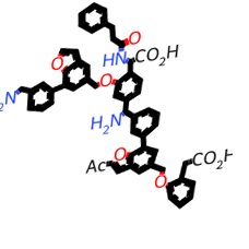 CC(=O)c1cc2cc(COc3ccccc3CC(=O)O)cc(-c3cccc(C(N)c4ccc(C(NC(=O)CCc5ccccc5)C(=O)O)c(OCc5cc(-c6cccc(CN)c6)c6occc6c5)c4)c3)c2o1